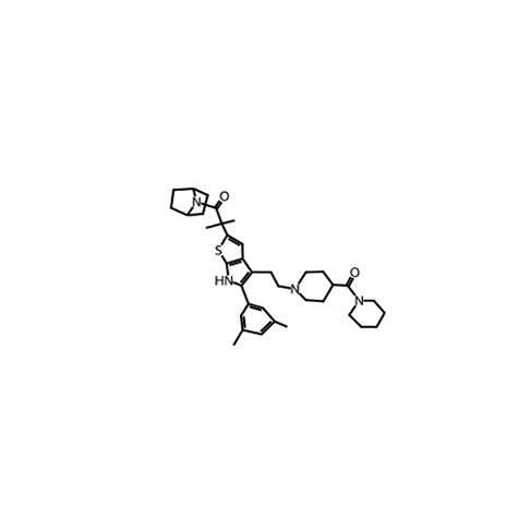 Cc1cc(C)cc(-c2[nH]c3sc(C(C)(C)C(=O)N4C5CCC4CC5)cc3c2CCN2CCC(C(=O)N3CCCCC3)CC2)c1